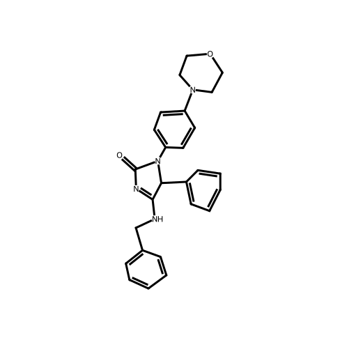 O=C1N=C(NCc2ccccc2)C(c2ccccc2)N1c1ccc(N2CCOCC2)cc1